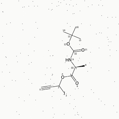 C#CC(I)OC(=O)[C@H](C)NC(=O)OC(C)(C)C